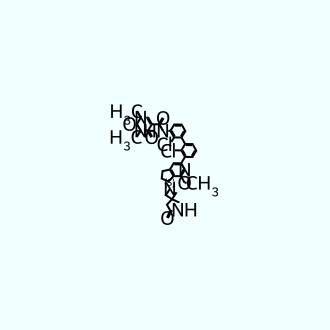 COc1nc(-c2cccc(-c3cccc(NC(=O)c4cn(C)c(=O)n(C)c4=O)c3Cl)c2Cl)cc2c1[C@@H](N1CC3(CNC(=O)C3)C1)CC2